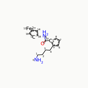 NCCCCc1ccc[c-]1C(N)=O.[Fe+2].c1cc[cH-]c1